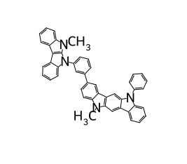 Cn1c2ccc(-c3cccc(-n4c5ccccc5c5c6ccccc6n(C)c54)c3)cc2c2cc3c(cc21)c1ccccc1n3-c1ccccc1